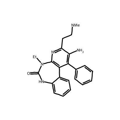 CCN1C(=O)Nc2ccccc2-c2c1nc(CCNC)c(N)c2-c1ccccc1